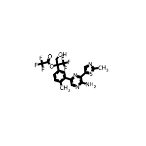 Cc1ncc(-c2nc(-c3cc(C(CO)(OC(=O)C(F)(F)F)C(F)(F)F)ccc3C)cnc2N)s1